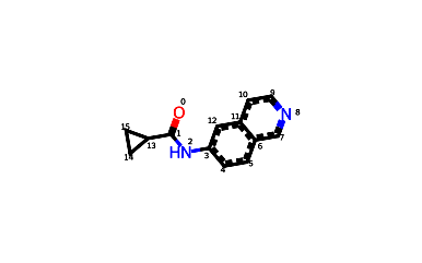 O=C(Nc1ccc2cnccc2c1)C1CC1